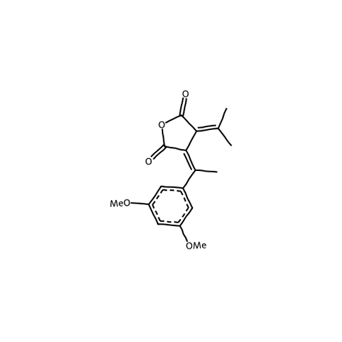 COc1cc(OC)cc(C(C)=C2C(=O)OC(=O)C2=C(C)C)c1